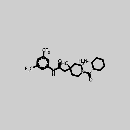 N[C@@H]1CCCC[C@@H]1C(=O)N1CCC(O)(CC(=O)Nc2cc(C(F)(F)F)cc(C(F)(F)F)c2)CC1